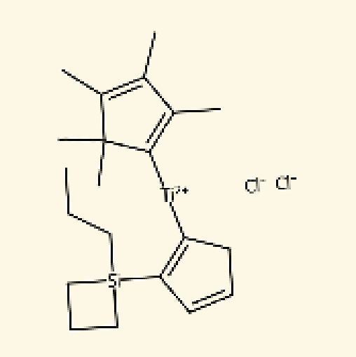 CCC[Si]1(C2=[C]([Ti+2][C]3=C(C)C(C)=C(C)C3(C)C)CC=C2)CCC1.[Cl-].[Cl-]